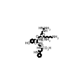 N=C(N)NCCC[C@H](NC(=O)[C@@H](N)CCCCN)C(=O)N[C@@H](Cc1ccc(O)cc1)C(=O)NCC(=O)N[C@@H](Cc1c[nH]c2ccccc12)C(=O)O